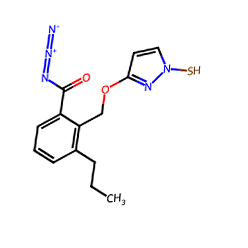 CCCc1cccc(C(=O)N=[N+]=[N-])c1COc1ccn(S)n1